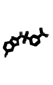 O=[N+]([O-])c1cccc(S(=O)(=O)Nc2nc3ccc(F)cc3s2)c1